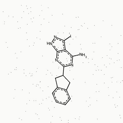 Nc1nc(C2Cc3ccccc3C2)nc2[nH]nc(I)c12